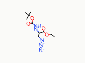 CCOC(=O)/C(CN=[N+]=[N-])=N\NC(=O)OC(C)(C)C